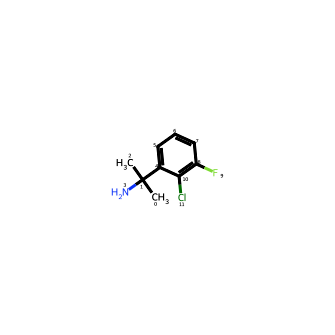 CC(C)(N)c1cccc(F)c1Cl